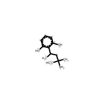 CC(CC(C)(N)C(=O)O)c1c(O)cccc1O